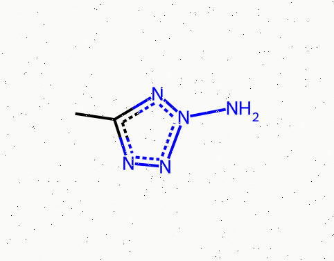 Cc1nnn(N)n1